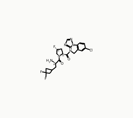 N[C@H](CC1CC(F)(F)C1)C(=O)N1C[C@H](F)C[C@H]1C(=O)NCc1cc(Cl)ccc1-n1cncn1